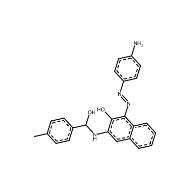 Cc1ccc(C(O)Nc2cc3ccccc3c(N=Nc3ccc(N)cc3)c2O)cc1